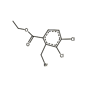 CCOC(=O)c1ccc(Cl)c(Cl)c1CBr